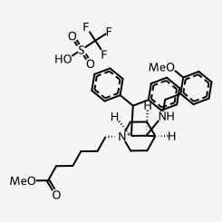 COC(=O)CCCCC[N@+]12CC[C@H](CC1)[C@H](NCc1ccccc1OC)[C@@H]2C(c1ccccc1)c1ccccc1.O=S(=O)(O)C(F)(F)F